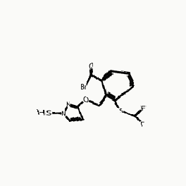 O=C(Br)c1cccc(SC(F)F)c1COc1ccn(S)n1